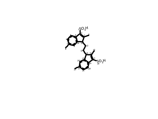 CC1=C(S(=O)(=O)O)c2ccc(C)cc2C1CCC1C(C)=C(S(=O)(=O)O)c2ccc(C)cc21